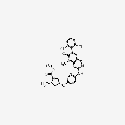 C[C@@H]1C[C@@H](Oc2ccc(Nc3ncc4cc(-c5c(Cl)cccc5Cl)c(=O)n(C)c4n3)nc2)CN1C(=O)OC(C)(C)C